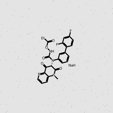 CCC(=O)ONC(=O)N(c1cccc(-c2ccc(F)cc2F)c1)[C@H]1C(=O)c2ncccc2N(C)C1=O.[NaH]